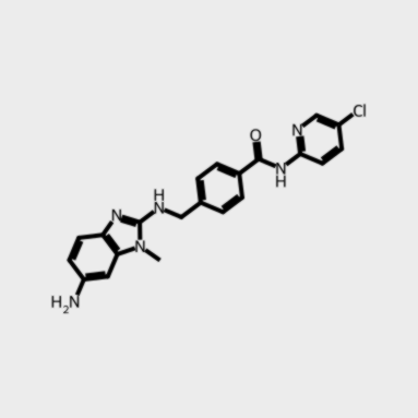 Cn1c(NCc2ccc(C(=O)Nc3ccc(Cl)cn3)cc2)nc2ccc(N)cc21